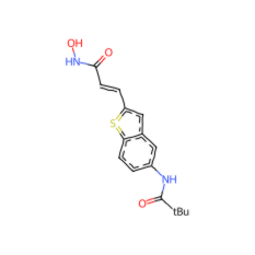 CC(C)(C)C(=O)Nc1ccc2sc(/C=C/C(=O)NO)cc2c1